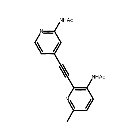 CC(=O)Nc1cc(C#Cc2nc(C)ccc2NC(C)=O)ccn1